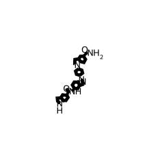 NC(=O)c1ccc2c(ccn2-c2ccc(-n3ncc4cc(NC(=O)c5ccc6[nH]ccc6c5)ccc43)cc2)c1